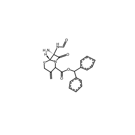 C=C1CS[C@H]2N(C(=O)[C@]2(N)NC=O)C1C(=O)OC(c1ccccc1)c1ccccc1